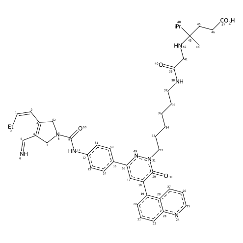 CC/C=C\C1=C(C=N)CN(C(=O)Nc2ccc(-c3cc(-c4cccc5ncccc45)c(=O)n(CCCCCCNC(=O)CNC(C)(CCC(=O)O)C(C)C)n3)cc2)C1